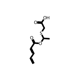 C=CC=CC(=O)OC(C)SCC(=O)O